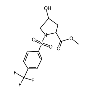 COC(=O)C1CC(O)CN1S(=O)(=O)c1ccc(C(F)(F)F)cc1